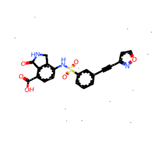 O=C(O)c1ccc(NS(=O)(=O)c2cccc(C#Cc3ccon3)c2)c2c1C(=O)NC2